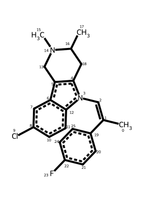 C/C(=C/n1c2c(c3cc(Cl)ccc31)CN(C)C(C)C2)c1ccc(F)cc1